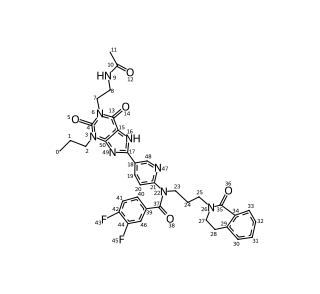 CCCn1c(=O)n(CCNC(C)=O)c(=O)c2[nH]c(-c3ccc(N(CCCN4CCc5ccccc5C4=O)C(=O)c4ccc(F)c(F)c4)nc3)nc21